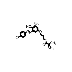 C=C(C)C(=O)OCCCOc1cc(N=Nc2ccc(Cl)cc2)c(O)c(C(C)(C)C)c1